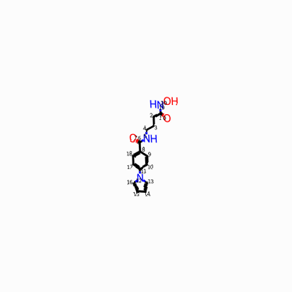 O=C(CCCNC(=O)c1ccc(-n2cccc2)cc1)NO